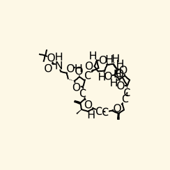 C=C1CC2CC[C@@]34CC5O[C@H]6[C@@H](O3)[C@H]3O[C@H](CC[C@@H]3O[C@H]6[C@H]5O4)CC(=O)CC3C(CC4O[C@@H](CCC1O2)C[C@@H](C)C4=C)O[C@H](C[C@H](O)CNC(=O)OC(C)(C)C)[C@@H]3OC